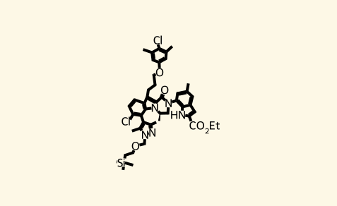 CCOC(=O)c1cc2cc(C)cc(N3C[C@@H](C)n4c(c(CCCOc5cc(C)c(Cl)c(C)c5)c5ccc(Cl)c(-c6c(C)nn(COCC[Si](C)(C)C)c6C)c54)C3=O)c2[nH]1